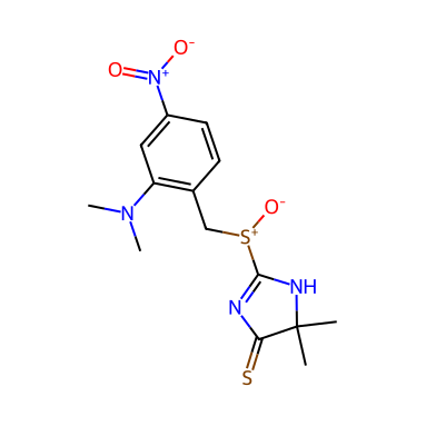 CN(C)c1cc([N+](=O)[O-])ccc1C[S+]([O-])C1=NC(=S)C(C)(C)N1